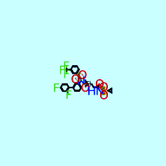 O=C(CC[C@H]1CN(S(=O)(=O)c2cccc(C(F)(F)F)c2)c2cc(-c3ccc(F)cc3F)ccc2O1)NS(=O)(=O)C1CC1